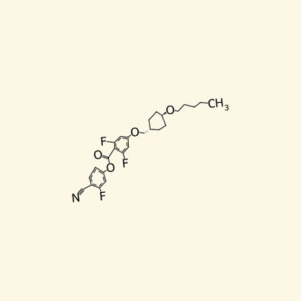 CCCCCO[C@H]1CC[C@H](COc2cc(F)c(C(=O)Oc3ccc(C#N)c(F)c3)c(F)c2)CC1